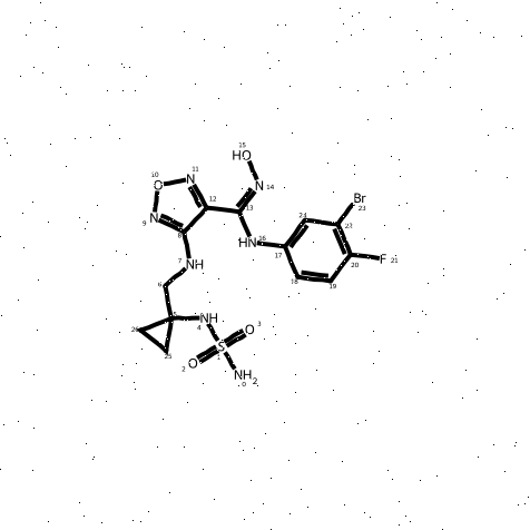 NS(=O)(=O)NC1(CNc2nonc2C(=NO)Nc2ccc(F)c(Br)c2)CC1